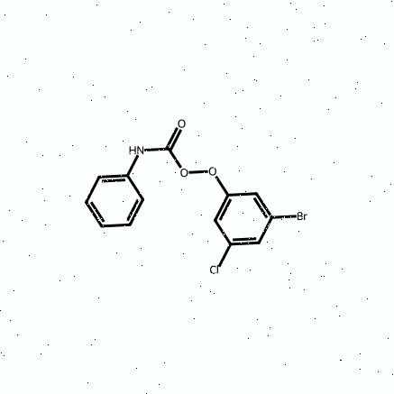 O=C(Nc1ccccc1)OOc1cc(Cl)cc(Br)c1